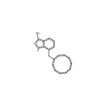 Nc1n[nH]c2c(Cc3ccccccccc3)cccc12